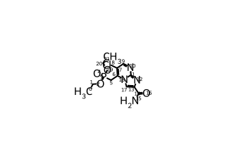 CCOP(=O)(Cc1c(Cl)cnc2nc(C(N)=O)cn12)OCC